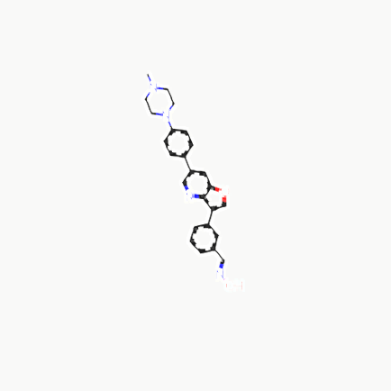 CN1CCN(c2ccc(-c3cnc4c(-c5cccc(/C=N/O)c5)coc4c3)cc2)CC1